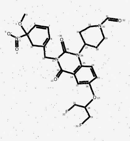 COC1([N+](=O)[O-])C=CC=C(Cn2c(=O)c3cc(OC(CF)CF)ccc3n(C3CCN(C=O)CC3)c2=O)C1